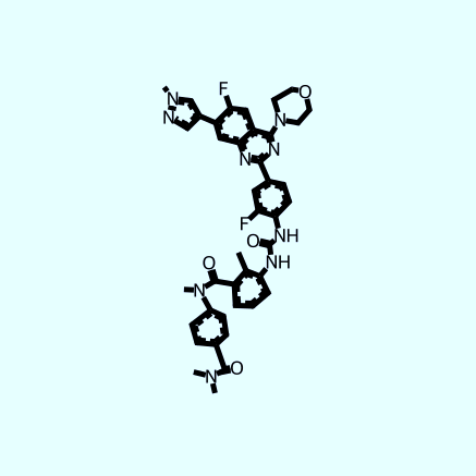 Cc1c(NC(=O)Nc2ccc(-c3nc(N4CCOCC4)c4cc(F)c(-c5cnn(C)c5)cc4n3)cc2F)cccc1C(=O)N(C)c1ccc(C(=O)N(C)C)cc1